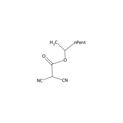 CCCCCC(C)OC(=O)C(C#N)C#N